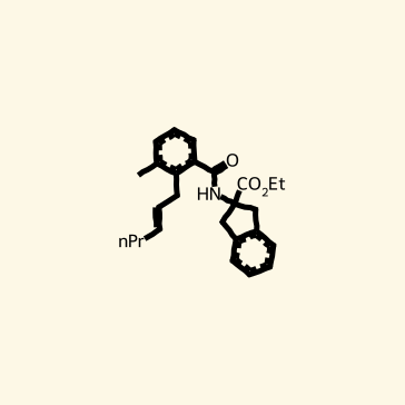 CCCC=CCc1c(C)cccc1C(=O)NC1(C(=O)OCC)Cc2ccccc2C1